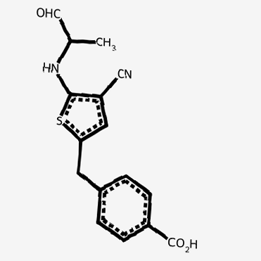 CC(C=O)Nc1sc(Cc2ccc(C(=O)O)cc2)cc1C#N